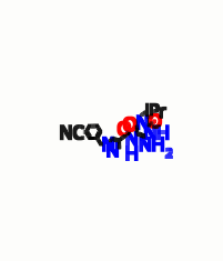 CC(C)Cn1c(=O)[nH]c(N)c(NC(=O)c2cnn(Cc3cccc(C#N)c3)c2)c1=O